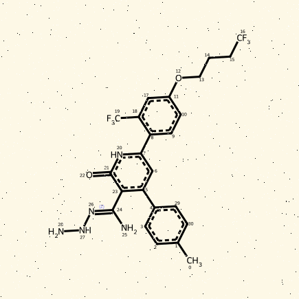 Cc1ccc(-c2cc(-c3ccc(OCCCC(F)(F)F)cc3C(F)(F)F)[nH]c(=O)c2/C(N)=N/NN)cc1